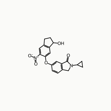 O=C1c2cc(Oc3cc4c(cc3[N+](=O)[O-])CCC4O)ccc2CN1C1CC1